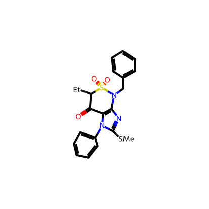 CCC1C(=O)c2c(nc(SC)n2-c2ccccc2)N(Cc2ccccc2)S1(=O)=O